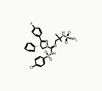 CC(C)(C/N=C(/NS(=O)(=O)c1ccc(Cl)cc1)N1C[C@H](c2ccccc2)C(c2ccc(F)cc2)=N1)NS(N)(=O)=O